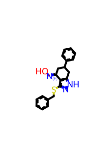 O/N=C1\CC(c2ccccc2)Cc2[nH]nc(SCc3ccccc3)c21